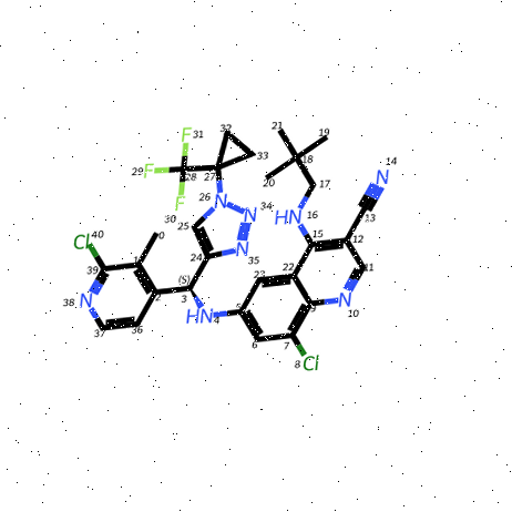 Cc1c([C@H](Nc2cc(Cl)c3ncc(C#N)c(NCC(C)(C)C)c3c2)c2cn(C3(C(F)(F)F)CC3)nn2)ccnc1Cl